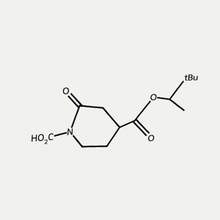 CC(OC(=O)C1CCN(C(=O)O)C(=O)C1)C(C)(C)C